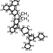 CC1(C)c2cc3c4ccccc4c4ccccc4c3cc2-c2cc3c4ccccc4n(C4=CC=CC(c5nc(-c6ccccc6)cc(-c6ccccc6)n5)=CC4)c3cc21